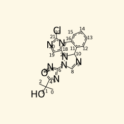 CC(C)(O)c1nc(N2C=NC3c4ccccc4-n4c(cnc4Cl)N32)no1